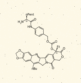 CCCCC[C@H](N)C(=O)Nc1ccc(COC(=O)O[C@]2(CC)C(=O)OCc3c2cc2n(c3=O)Cc3c-2nc2cc4c(cc2c3CCCC)OCO4)cc1